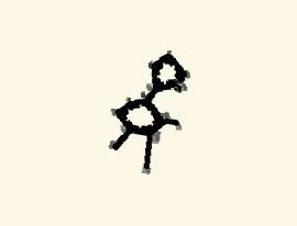 Cc1[c]cc(-c2cccs2)c(C)c1C